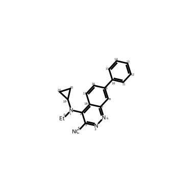 CCN(c1c(C#N)nnc2cc(-c3ccccc3)ccc12)C1CC1